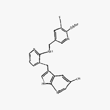 COc1ncc(CNc2ncccc2Cc2c[nH]c3ncc(C#N)cc23)cc1F